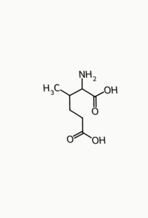 CC(CCC(=O)O)C(N)C(=O)O